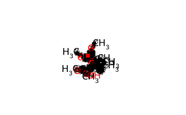 CCCOc1ccc(C2(c3ccc(OCCC)cc3)C=Cc3c4c(c5cc(CO)c(-c6ccc(OC)cc6OC)cc5c3O2)-c2ccccc2C42CC(C)(C)CC(C)(C)C2)cc1